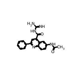 CC(=O)Nc1ccc2nc(-c3ccccc3)cc(C(=O)NC(=N)N)c2c1